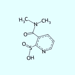 CN(C)C(=O)c1cccnc1S(=O)O